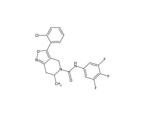 CC1Cc2noc(-c3ccccc3Cl)c2CN1C(=O)Nc1cc(F)c(F)c(F)c1